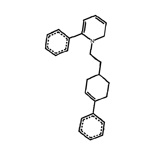 C1=CCN(CCC2CC=C(c3ccccc3)CC2)C(c2ccccc2)=C1